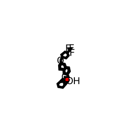 O=C(O)C1C2CCCC1CN(Cc1ccc3cc(OC4CCC(C(F)(F)F)CC4)ccc3c1)C2